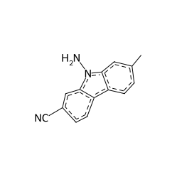 Cc1ccc2c3ccc(C#N)cc3n(N)c2c1